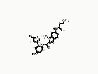 CCCC(=O)Nc1ccc2cc(C(=O)Nc3ccc(Br)cc3-c3noc(=O)[nH]3)n(C)c2c1